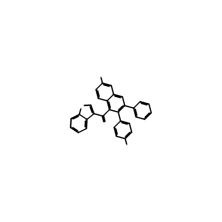 O=C(c1c(-c2ccc(O)cc2)c(-c2ccccc2)cc2cc(O)ccc12)c1csc2ccccc12